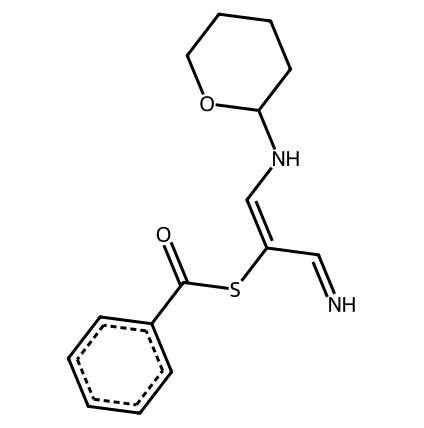 N=C/C(=C\NC1CCCCO1)SC(=O)c1ccccc1